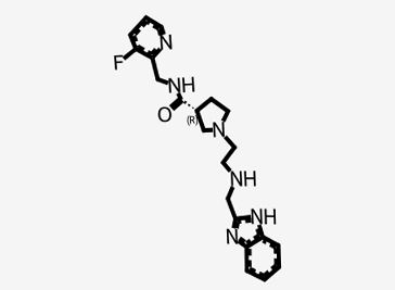 O=C(NCc1ncccc1F)[C@@H]1CCN(CCNCc2nc3ccccc3[nH]2)C1